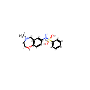 CN1CCOc2ccc(NS(=O)(=O)c3ccccc3)cc2C1